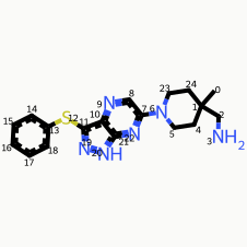 CC1(CN)CCN(c2cnc3c(Sc4ccccc4)n[nH]c3n2)CC1